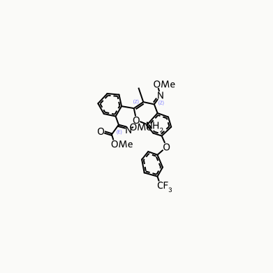 CO/N=C(\C(C)=C(/ON)c1ccccc1/C(=N\OC)C(=O)OC)c1ccc(Oc2cccc(C(F)(F)F)c2)cc1